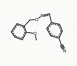 COc1ccccc1CO/N=[C]\c1ccc(C#N)cc1